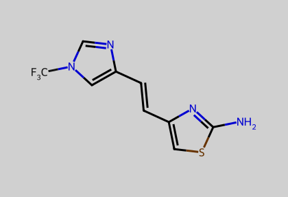 Nc1nc(/C=C/c2cn(C(F)(F)F)cn2)cs1